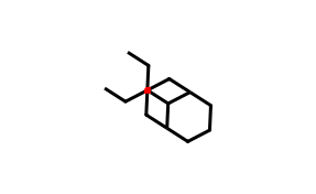 CCC(CC)C1C2CCCC1CCC2